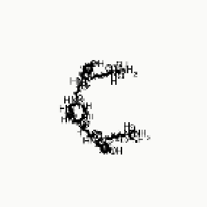 NC(=O)C(CS)NC(=O)CCCCCNC(=O)C(Cc1ccc(O)cc1)NC(=O)CCCC(=O)N[C@]12CNCCNC[C@](NC(=O)CCCC(=O)NC(Cc3ccc(O)cc3)C(=O)NCCCCCC(=O)NC(CS)C(N)=O)(CNCCNC1)CNCCNC2